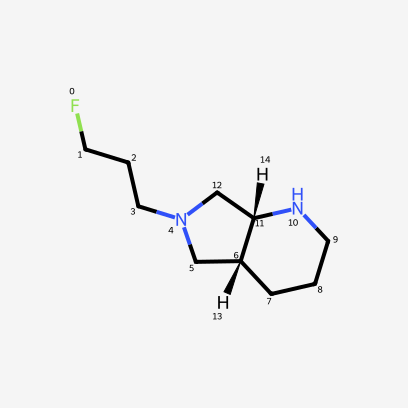 FCCCN1C[C@H]2CCCN[C@H]2C1